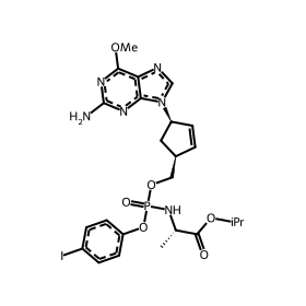 COc1nc(N)nc2c1ncn2[C@H]1C=C[C@@H](COP(=O)(N[C@@H](C)C(=O)OC(C)C)Oc2ccc(I)cc2)C1